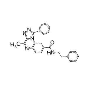 Cc1nc2ccc(C(=O)NCCc3ccccc3)cc2n2c(-c3ccccc3)nnc12